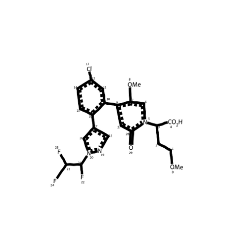 COCCC(C(=O)O)n1cc(OC)c(-c2cc(Cl)ccc2-c2cnn(C(F)C(F)F)c2)cc1=O